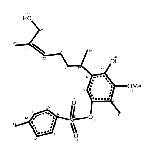 COc1c(C)c(OS(=O)(=O)c2ccc(C)cc2)cc(C(C)CC/C=C(/C)CO)c1O